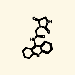 O=C(CN1C(=O)CNC1=O)Nc1c2c(nc3ccccc13)CCCC2